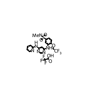 CNS(=O)(=O)c1ccc(OCC(F)(F)F)c(Nc2cc(Nc3ccccn3)ncn2)c1.O=C(O)C(F)(F)F